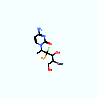 COC(CO)C(O)C(F)(P)C(C)n1ccc(N)nc1=O